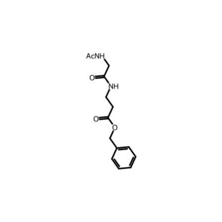 CC(=O)NCC(=O)NCCC(=O)OCc1ccccc1